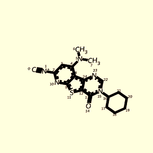 [C-]#[N+]c1cc(N(C)C)c2c(n1)sc1c(=O)n(C3CCCCC3)cnc12